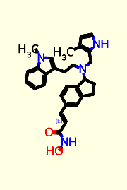 Cc1cc[nH]c1CN(CCc1cn(C)c2ccccc12)C1CCc2cc(/C=C/C(=O)NO)ccc21